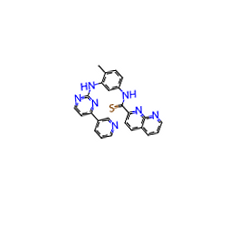 Cc1ccc(NC(=S)c2ccc3cccnc3n2)cc1Nc1nccc(-c2cccnc2)n1